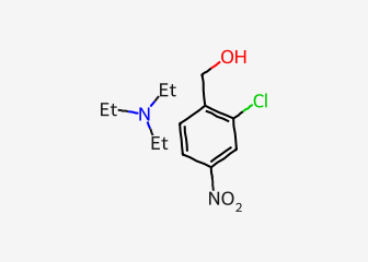 CCN(CC)CC.O=[N+]([O-])c1ccc(CO)c(Cl)c1